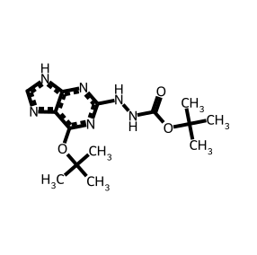 CC(C)(C)OC(=O)NNc1nc(OC(C)(C)C)c2nc[nH]c2n1